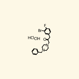 Cl.Cl.O=C(Cc1ccc(F)c(Br)c1)CN1CCN(Cc2ccccc2)CC1